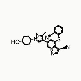 Cc1nn([C@H]2CC[C@@H](O)CC2)cc1-c1cc(Sc2ccccc2C#N)c2c(C#N)cnn2c1